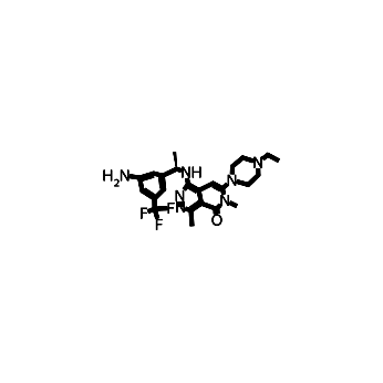 CCN1CCN(c2cc3c(N[C@H](C)c4cc(N)cc(C(F)(F)F)c4)nnc(C)c3c(=O)n2C)CC1